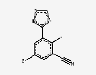 N#Cc1cc(Br)cc(-c2cocn2)c1F